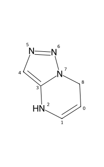 C1=CNc2cnnn2C1